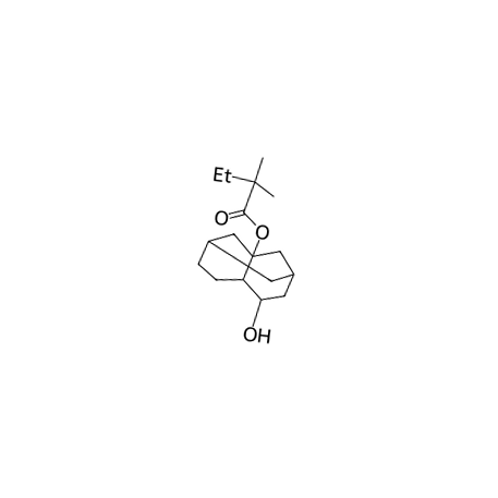 CCC(C)(C)C(=O)OC12CC3CCC1C(O)CC(C3)C2